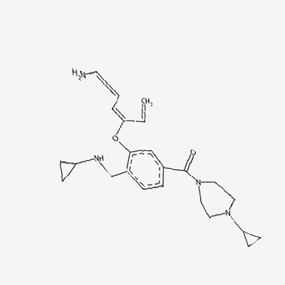 C=C/C(=C\C=C/N)Oc1cc(C(=O)N2CCN(C3CC3)CC2)ccc1CNC1CC1